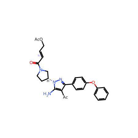 CC(=O)OC/C=C/C(=O)N1CC[C@@H](n2nc(-c3ccc(Oc4ccccc4)cc3)c(C(C)=O)c2N)C1